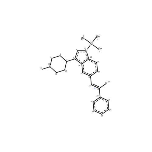 CC(C)[Si](C(C)C)(C(C)C)n1cc(C2CCN(C)CC2)c2cc(/C=C(\F)c3ccccc3)ccc21